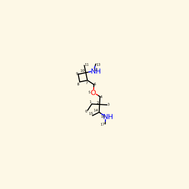 CCC(C)(COCC1CCC1(C)NC)C(C)NC